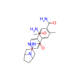 Cc1cc(C(=O)NC2CC3CCC(C2)N3c2ccc(C(N)=O)cn2)c(C)cc1C(N)=O